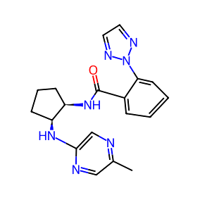 Cc1cnc(N[C@H]2CCC[C@H]2NC(=O)c2ccccc2-n2nccn2)cn1